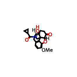 COc1ccc2c3c1O[C@@H]1C(=O)CC[C@]4(O)[C@H](C2)N(C(=O)C2CC2)CCC314